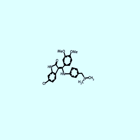 COc1ccc(C(Nc2ccc(CN(C)C)cc2)=C2C(=O)Nc3cc(Cl)ccc32)cc1OC